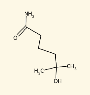 CC(C)(O)CCCC(N)=O